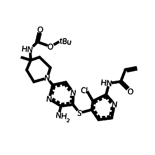 C=CC(=O)Nc1nccc(Sc2ncc(N3CCC(C)(NC(=O)OC(C)(C)C)CC3)nc2N)c1Cl